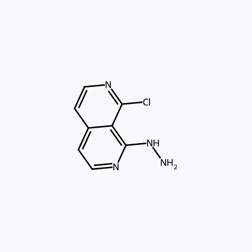 NNc1nccc2ccnc(Cl)c12